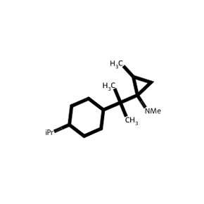 CNC1(C(C)(C)C2CCC(C(C)C)CC2)CC1C